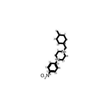 CC1CCC(CN2CCN(c3ccc([N+](=O)[O-])cc3)CC2)CC1